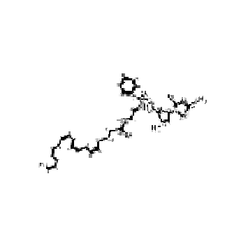 CC/C=C\C/C=C\C/C=C\C/C=C\C/C=C\CCCC(=O)NCCNP(=O)(OC[C@H]1OC(n2cnc(N)nc2=O)C[C@@H]1O)Oc1ccccc1